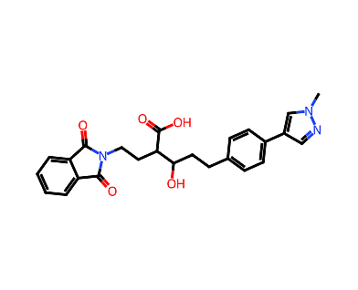 Cn1cc(-c2ccc(CCC(O)C(CCN3C(=O)c4ccccc4C3=O)C(=O)O)cc2)cn1